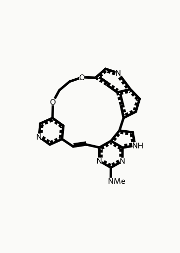 CNc1nc2c3c(c[nH]c3n1)-c1ccc3ncc(cc3c1)OCCOc1cncc(c1)/C=C/2